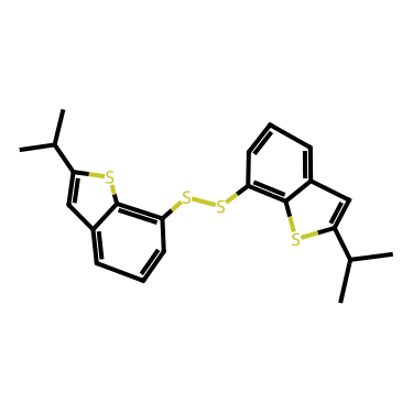 CC(C)c1cc2cccc(SSc3cccc4cc(C(C)C)sc34)c2s1